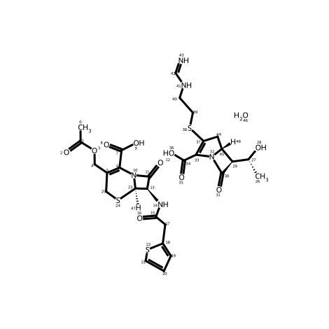 CC(=O)OCC1=C(C(=O)O)N2C(=O)[C@@H](NC(=O)Cc3cccs3)[C@H]2SC1.C[C@@H](O)[C@H]1C(=O)N2C(C(=O)O)=C(SCCNC=N)C[C@H]12.O